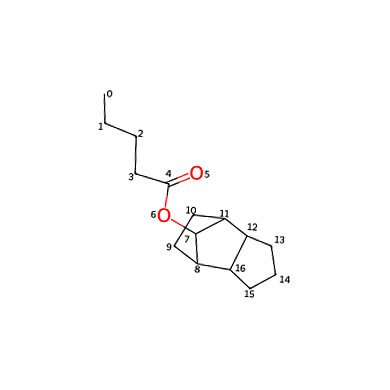 CCCCC(=O)OC1C2CCC1C1CCCC12